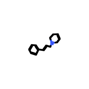 C1=CCN(CC=Cc2ccccc2)CC1